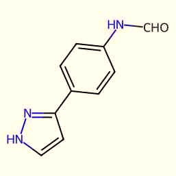 O=CNc1ccc(-c2cc[nH]n2)cc1